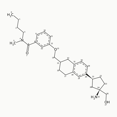 CCCCN(C)C(=O)c1cccc(OCC2CCc3cc([C@H]4CC[C@](N)(CO)C4)ccc3C2)c1